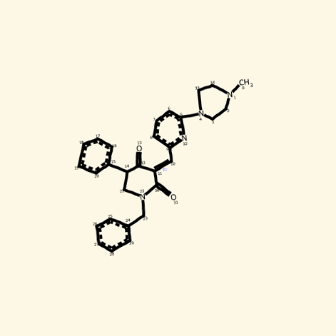 CN1CCN(c2cccc(/C=C3\C(=O)C(c4ccccc4)CN(Cc4ccccc4)C3=O)n2)CC1